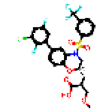 COCC(C[C@H]1CN(S(=O)(=O)c2cccc(C(F)(F)F)c2)c2cc(-c3cc(F)cc(Cl)c3F)ccc2O1)C(=O)O